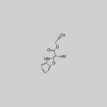 C#CCOC(=O)/C(C#N)=C1\Nc2ccccc2O1